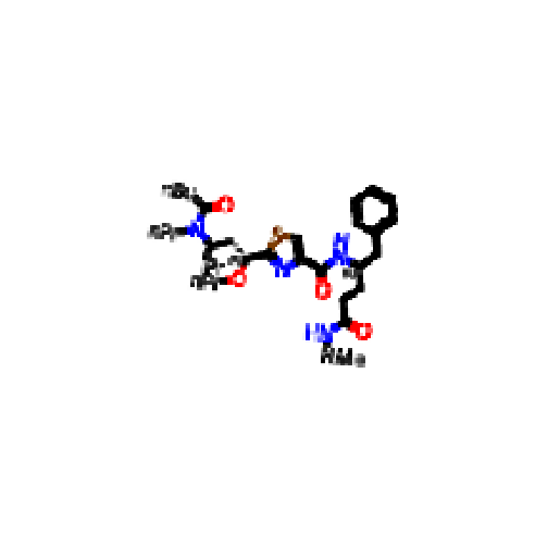 CCCCC(=O)N(CCC)C(C[C@@H](OCCC)c1nc(C(=O)N[C@H](CCC(=O)NNC)Cc2ccccc2)cs1)C(C)C